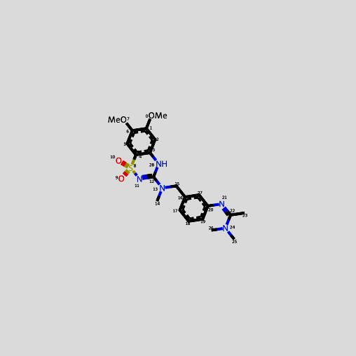 COc1cc2c(cc1OC)S(=O)(=O)N=C(N(C)Cc1cccc(N=C(C)N(C)C)c1)N2